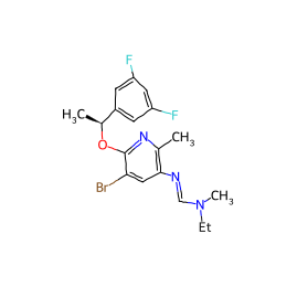 CCN(C)/C=N/c1cc(Br)c(O[C@@H](C)c2cc(F)cc(F)c2)nc1C